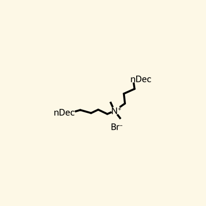 CCCCCCCCCCCCCC[N+](C)(C)CCCCCCCCCCCCC.[Br-]